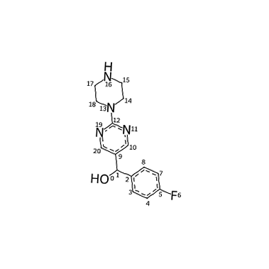 OC(c1ccc(F)cc1)c1cnc(N2CCNCC2)nc1